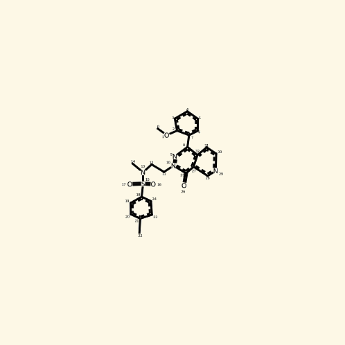 COc1ccccc1-c1nn(CCN(C)S(=O)(=O)c2ccc(C)cc2)c(=O)c2cnccc12